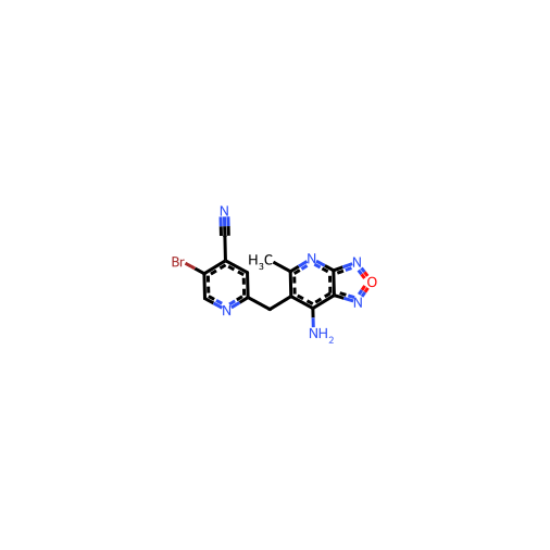 Cc1nc2nonc2c(N)c1Cc1cc(C#N)c(Br)cn1